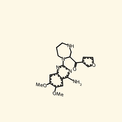 COc1cc2nc(N3CCCNCC3C(=O)c3ccoc3)nc(N)c2cc1OC